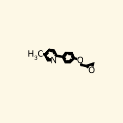 Cc1ccc(-c2ccc(OCC3CO3)cc2)nc1